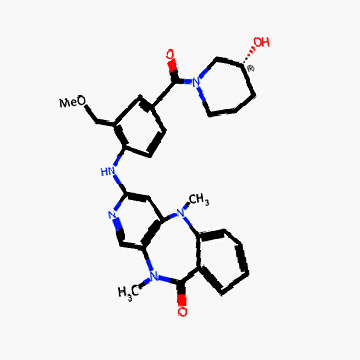 COCc1cc(C(=O)N2CCC[C@@H](O)C2)ccc1Nc1cc2c(cn1)N(C)C(=O)c1ccccc1N2C